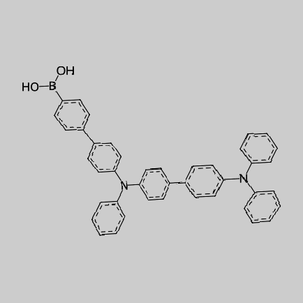 OB(O)c1ccc(-c2ccc(N(c3ccccc3)c3ccc(-c4ccc(N(c5ccccc5)c5ccccc5)cc4)cc3)cc2)cc1